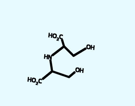 O=C(O)C(CO)NC(CO)C(=O)O